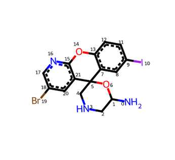 NC1CNCC2(O1)c1cc(I)ccc1Oc1ncc(Br)cc12